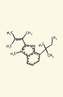 CCC(C)(C)c1cccc2c1nc(C(C)=C(C)C)n2C